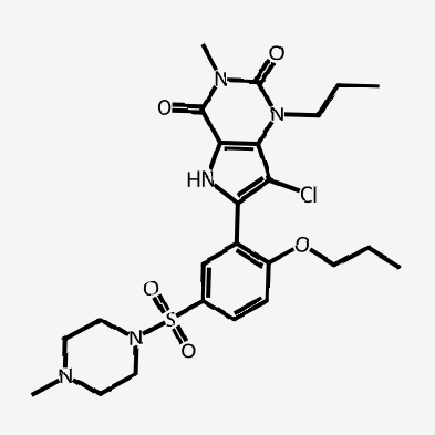 CCCOc1ccc(S(=O)(=O)N2CCN(C)CC2)cc1-c1[nH]c2c(=O)n(C)c(=O)n(CCC)c2c1Cl